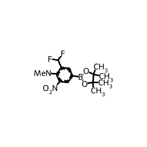 CNc1c(C(F)F)cc(B2OC(C)(C)C(C)(C)O2)cc1[N+](=O)[O-]